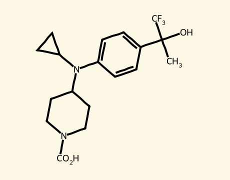 CC(O)(c1ccc(N(C2CC2)C2CCN(C(=O)O)CC2)cc1)C(F)(F)F